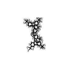 CC(C)(C)c1ccc2c(c1)c1cc(C(C)(C)C)cc3c1n2-c1cc2oc4cc5c(cc4c2cc1C3(C)C)C(C)(C)c1cc(C(C)(C)C)cc2c3cc(C(C)(C)C)ccc3n-5c12